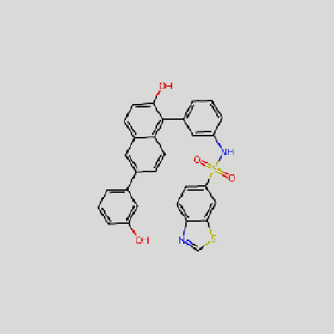 O=S(=O)(Nc1cccc(-c2c(O)ccc3cc(-c4cccc(O)c4)ccc23)c1)c1ccc2ncsc2c1